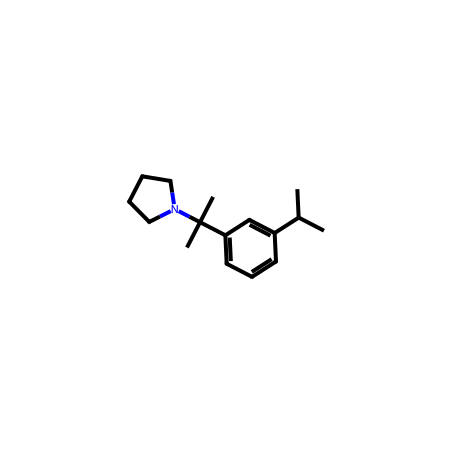 CC(C)c1cccc(C(C)(C)N2CCCC2)c1